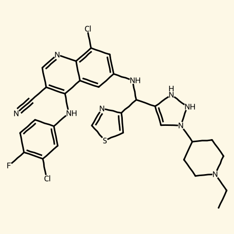 CCN1CCC(N2C=C(C(Nc3cc(Cl)c4ncc(C#N)c(Nc5ccc(F)c(Cl)c5)c4c3)c3cscn3)NN2)CC1